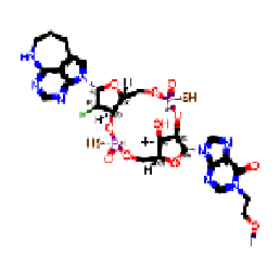 O=c1c2ncn([C@@H]3O[C@@H]4CO[P@](=O)(S)O[C@H]5[C@@H](F)[C@H](n6cc7c8c(ncnc86)NCCC7)O[C@@H]5CO[P@@](=O)(S)O[C@@H]3[C@@H]4O)c2ncn1CCOI